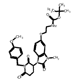 COc1ccc(CN2C(=O)CCC(n3c(=O)n(C)c4cc(OCCNC(=O)OC(C)(C)C)ccc43)C2=O)cc1